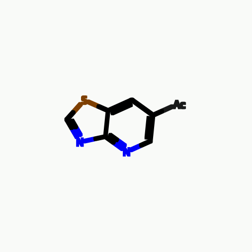 CC(=O)c1cnc2ncsc2c1